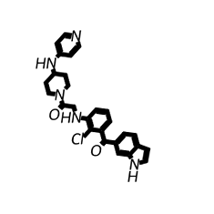 O=C(c1ccc2cc[nH]c2c1)c1cccc(NCC(=O)N2CCC(Nc3ccncc3)CC2)c1Cl